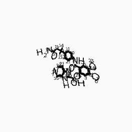 COc1ccc(C(=O)Nc2ccc(C(C)(C)CC(N)=O)cc2)cc1OC.O=C(O)c1nc2ccncc2[nH]1